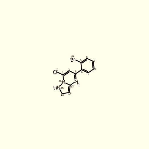 ClC1=CC(c2ccccc2Br)=NC2=CCNN12